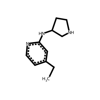 CCc1ccnc(NC2CCNC2)c1